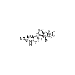 CN/C(=N\C#N)N[C@H]1CC[C@](CNC(=O)C2CC3C=CC2C3)(c2ccccc2)CC1